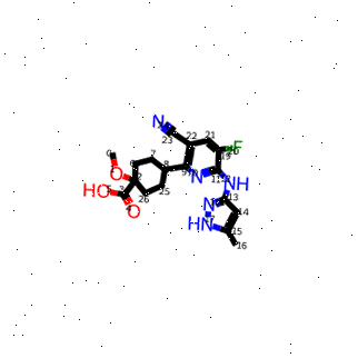 COC1(C(=O)O)CCC(c2nc(Nc3cc(C)[nH]n3)c(F)cc2C#N)CC1